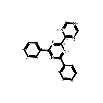 c1ccc(-c2nc(-c3ccccc3)nc(-c3ncncn3)n2)cc1